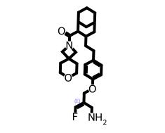 NC/C(=C\F)COc1ccc(CCC2CC3CCCC(C3)C2C(=O)N2CC3(CCOCC3)C2)cc1